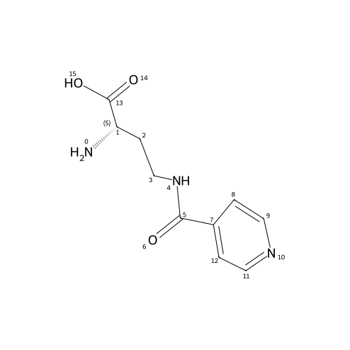 N[C@@H](CCNC(=O)c1ccncc1)C(=O)O